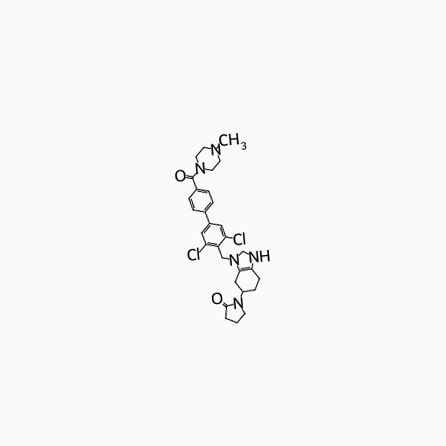 CN1CCN(C(=O)c2ccc(-c3cc(Cl)c(CN4CNC5=C4CC(N4CCCC4=O)CC5)c(Cl)c3)cc2)CC1